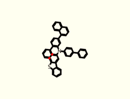 c1ccc(-c2ccc(N(c3ccc4sc5ccccc5c4c3)c3cc(-c4cccc5ccccc45)ccc3-c3ccccc3)cc2)cc1